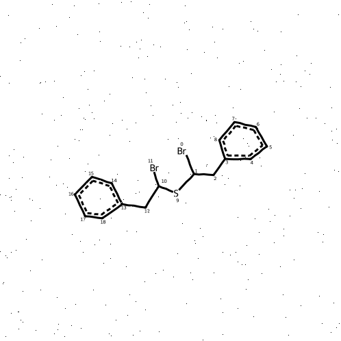 BrC(Cc1ccccc1)SC(Br)Cc1ccccc1